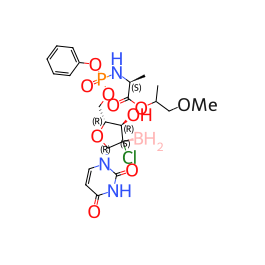 B[C@]1(Cl)[C@H](O)[C@@H](COP(=O)(N[C@@H](C)C(=O)OC(C)COC)Oc2ccccc2)O[C@H]1n1ccc(=O)[nH]c1=O